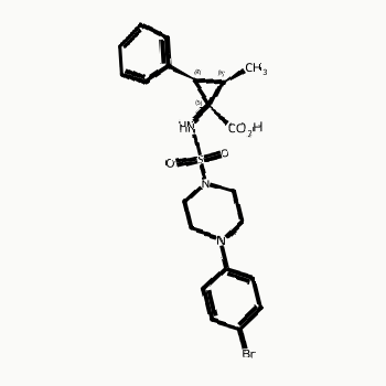 C[C@@H]1[C@H](c2ccccc2)[C@]1(NS(=O)(=O)N1CCN(c2ccc(Br)cc2)CC1)C(=O)O